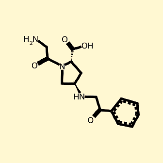 NCC(=O)N1C[C@H](NCC(=O)c2ccccc2)C[C@H]1C(=O)O